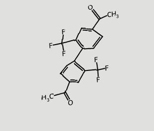 CC(=O)c1ccc(-c2ccc(C(C)=O)cc2C(F)(F)F)c(C(F)(F)F)c1